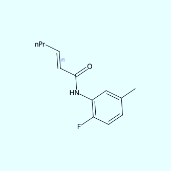 CCC/C=C/C(=O)Nc1cc(C)ccc1F